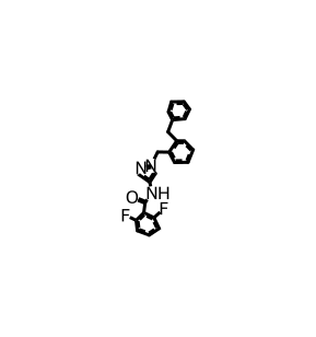 O=C(Nc1cnn(Cc2ccccc2Cc2ccccc2)c1)c1c(F)cccc1F